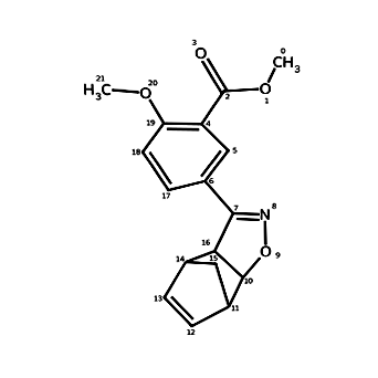 COC(=O)c1cc(C2=NOC3C4C=CC(C4)C23)ccc1OC